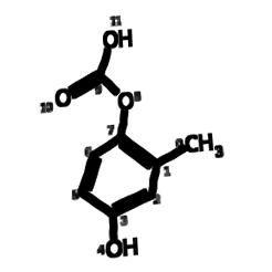 Cc1cc(O)ccc1OC(=O)O